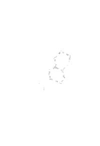 C[S+]([O-])c1ccc2ncc[c]c2c1